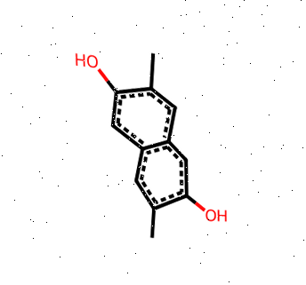 Cc1cc2cc(O)c(C)cc2cc1O